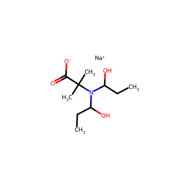 CCC(O)N(C(O)CC)C(C)(C)C(=O)[O-].[Na+]